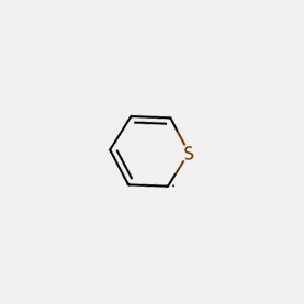 [CH]1C=CC=CS1